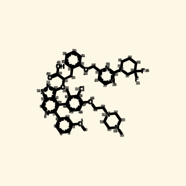 COc1cccc(-c2ncc3snc(O[C@H](Cc4ccccc4OCc4ccnc(N5CCCC(F)(F)C5)n4)C(=O)O)c3c2-c2ccc(OCCN3CCN(C)CC3)c(Cl)c2C)c1